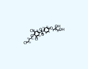 O=S(=O)(c1ccc(OC[C@H](O)CO)cc1)c1cc(Cl)c(OCCCCl)c(Cl)c1